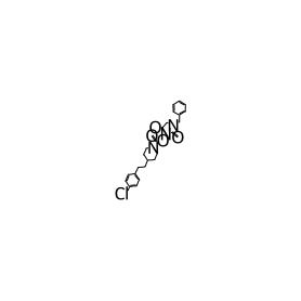 O=C(ON1C(=O)CN(Cc2ccccc2)C1=O)N1CCC(CCc2ccc(Cl)cc2)CC1